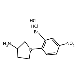 Cl.Cl.NC1CCN(c2ccc([N+](=O)[O-])cc2Br)C1